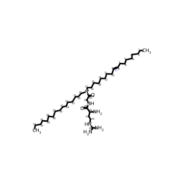 CCCCCCCC/C=C/CCCCCCCCN(CCCCCCCCCCCCCCCC)C(=O)CNC(=O)C(N)CCNC(N)N